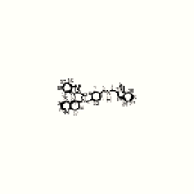 Cn1c(CNCc2ccc(CN(Cc3nc4ccccc4[nH]3)C3C=C4C=CC=NC4CC3)cc2)cc2ccccc21